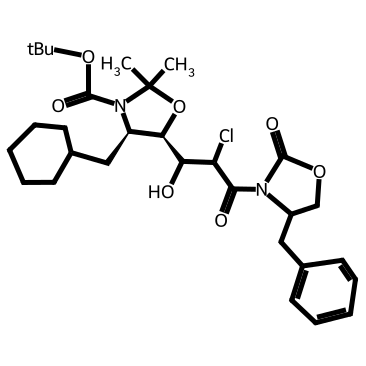 CC(C)(C)OC(=O)N1[C@H](CC2CCCCC2)[C@H](C(O)C(Cl)C(=O)N2C(=O)OCC2Cc2ccccc2)OC1(C)C